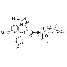 COc1ccc2c(c1)C(c1ccc(Cl)cc1)=N[C@@H](CC(=O)NCC(C)(C)OCCC(C)(C)C(=O)O)c1nnc(C)n1-2